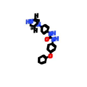 O=C(Nc1ccc(Oc2ccccc2)cc1)Nc1ccc(N2C[C@@H]3C[C@H]2CN3)cc1